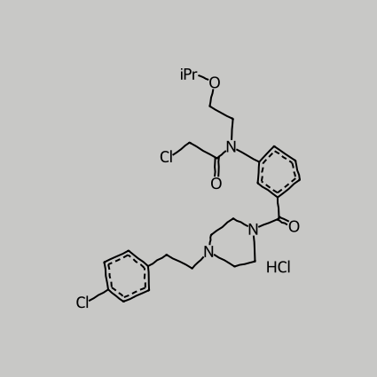 CC(C)OCCN(C(=O)CCl)c1cccc(C(=O)N2CCN(CCc3ccc(Cl)cc3)CC2)c1.Cl